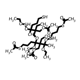 CCO[SiH2]OC(C)(CCCS)C(CC)(COC(C)=O)COC(CCCSC(C)=O)(O[SiH2]C)C(CC)(COC(C)=O)C(C)(OCC)O[SiH2]CCCSC(C)=O